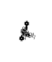 CC(C)(C)OC(=O)N[C@H](Cc1ccccc1)C(=O)N[C@H](CC#Cc1ccccc1)C(=O)O